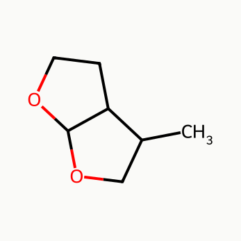 CC1COC2OCCC12